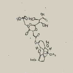 CN1CC[C@]23c4c5ccc(O)c4O[C@H]2C(OC(=O)C[C@H](OC(=O)[C@H](O)[C@@H](O)C(=O)O)C(=O)OCC(=O)O)=CC[C@@]3(O)[C@H]1C5